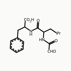 CC(C)CC(NC(=O)C=O)C(=O)NC(Cc1ccccc1)C(=O)O